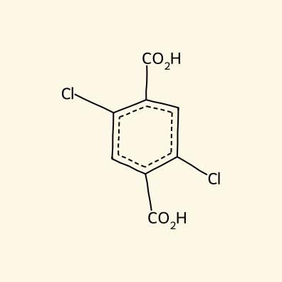 O=C(O)c1cc(Cl)c(C(=O)O)cc1Cl